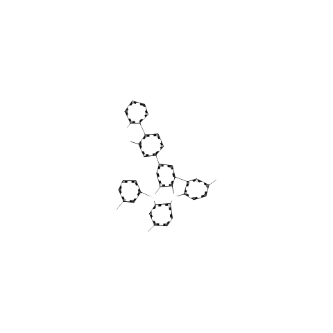 Cc1cccc(N2c3cc(C)ccc3B3c4ccc(C)cc4-c4cc(-c5ccc(-c6ccccc6O)c(C)c5)cc2c43)c1